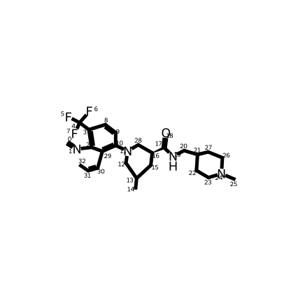 C=Nc1c(C(F)(F)F)ccc(N2CC(C)C[C@H](C(=O)NCC3CCN(C)CC3)C2)c1/C=C\C